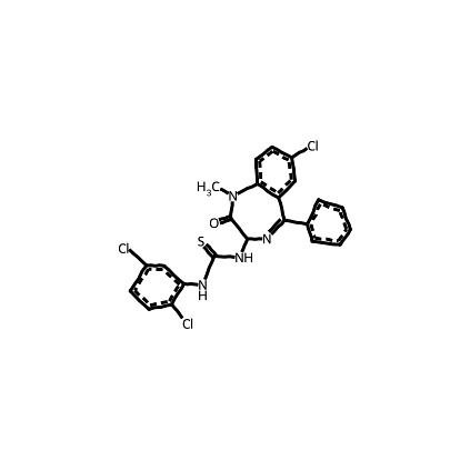 CN1C(=O)C(NC(=S)Nc2cc(Cl)ccc2Cl)N=C(c2ccccc2)c2cc(Cl)ccc21